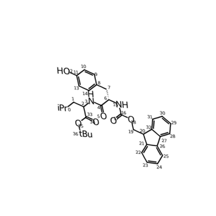 CC(C)CC(NC(=O)[C@H](Cc1ccc(O)cc1)NC(=O)OCC1c2ccccc2-c2ccccc21)C(=O)OC(C)(C)C